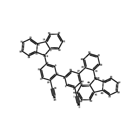 N#Cc1cc(-c2cc(-n3c4ccccc4c4ccccc43)ccc2C#N)cc(-c2ccccc2-n2c3ccccc3c3ccccc32)c1